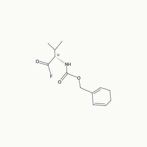 CC(C)[C@H](NC(=O)OCC1=CCCC=C1)C(=O)F